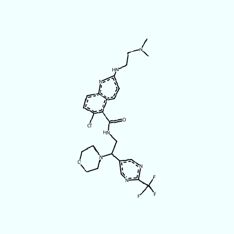 CN(C)CCNc1ccc2c(C(=O)NCC(c3cnc(C(F)(F)F)nc3)N3CCOCC3)c(Cl)ccc2n1